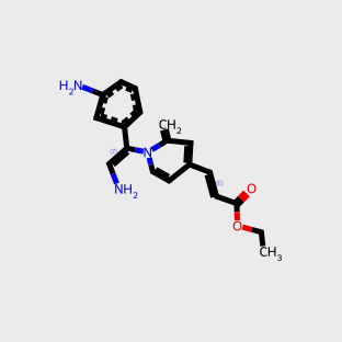 C=C1C=C(/C=C/C(=O)OCC)C=CN1/C(=C\N)c1cccc(N)c1